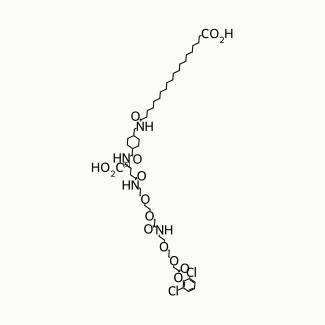 O=C(O)CCCCCCCCCCCCCCCCCCC(=O)NCC1CCC(C(=O)N[C@@H](CCC(=O)NCCOCCOCC(=O)NCCOCCOCC(=O)Oc2c(Cl)cccc2Cl)C(=O)O)CC1